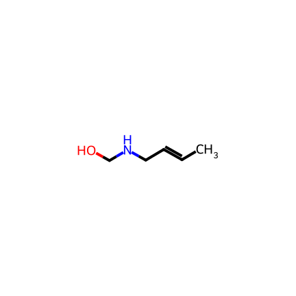 CC=CCNCO